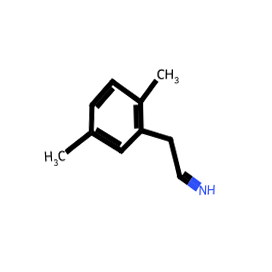 Cc1ccc(C)c(CC=N)c1